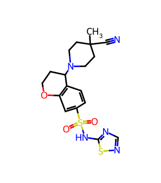 CC1(C#N)CCN(C2CCOc3cc(S(=O)(=O)Nc4ncns4)ccc32)CC1